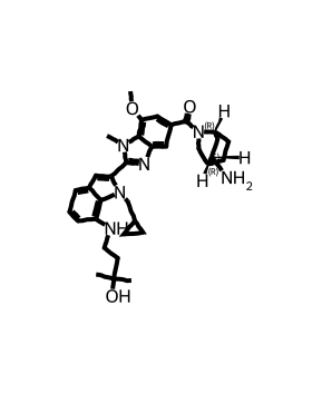 COc1cc(C(=O)N2C[C@H]3CC[C@@H]2C[C@@H]3N)cc2nc(-c3cc4cccc(NCCC(C)(C)O)c4n3CC3CC3)n(C)c12